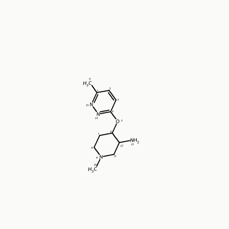 Cc1ccc(OC2CCN(C)CC2N)nn1